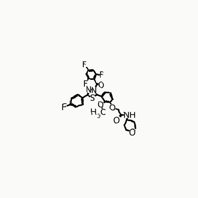 COc1c(OCC(=O)NC2CCOCC2)cccc1C1SC(c2ccc(F)cc2)=NN1C(=O)c1c(F)cc(F)cc1F